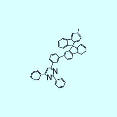 Cc1ccc2c(c1)-c1ccccc1C21C2=C(CCC=C2)c2ccc(-c3cccc(-c4cc(C5=C=C=CC=C5)nc(-c5ccccc5)n4)c3)cc21